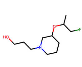 CC(CF)OC1CCCN(CCCO)C1